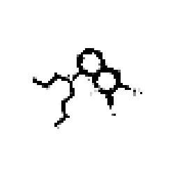 Bc1cc2cccc(N(CCC)CCCC)c2oc1=O